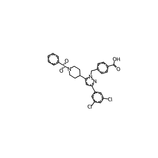 O=C(O)c1ccc(Cn2nc(-c3cc(Cl)cc(Cl)c3)cc2C2CCN(S(=O)(=O)c3ccccc3)CC2)cc1